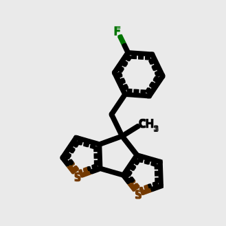 CC1(Cc2cccc(F)c2)c2ccsc2-c2sccc21